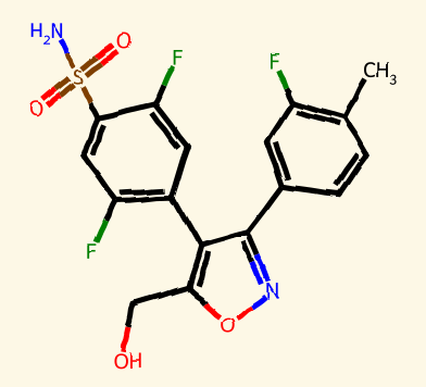 Cc1ccc(-c2noc(CO)c2-c2cc(F)c(S(N)(=O)=O)cc2F)cc1F